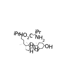 CC(C)CCC[C@@H](C)[C@H]1CC[C@H]2[C@@H]3CC=C4C[C@@H](O)CC[C@]4(C)[C@H]3CC[C@]12C.CC(C)[C@H](N)C(=O)O